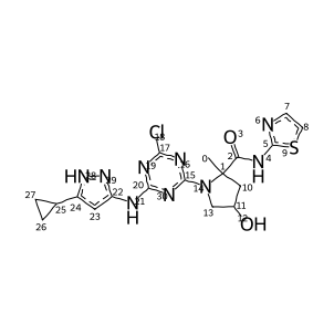 CC1(C(=O)Nc2nccs2)CC(O)CN1c1nc(Cl)nc(Nc2cc(C3CC3)[nH]n2)n1